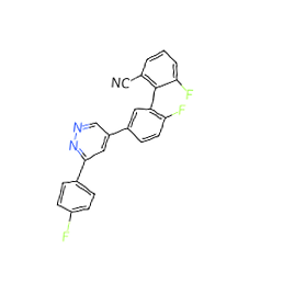 N#Cc1cccc(F)c1-c1cc(-c2cnnc(-c3ccc(F)cc3)c2)ccc1F